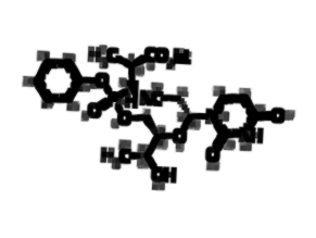 CCOC(=O)[C@H](C)NP(=O)(OC[C@@H](O[C@H](CC#N)n1ccc(=O)[nH]c1=O)[C@H](C)O)Oc1ccccc1